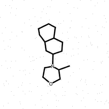 CC1COCCN1C1CCC2CCCCC2C1